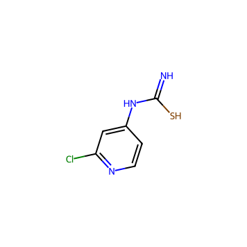 N=C(S)Nc1ccnc(Cl)c1